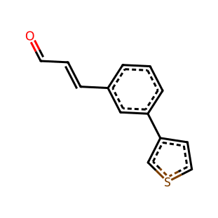 O=CC=Cc1cccc(-c2ccsc2)c1